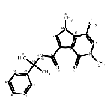 Cc1cn(C)c(=O)c2c(C(=O)NC(C)(C)c3ccccc3)cn(C)c12